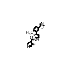 Cc1ccc(-c2cnco2)cc1-c1ccc(NC(=O)c2ccncc2F)s1